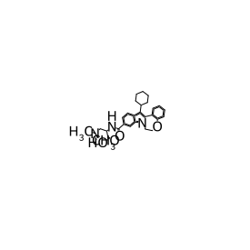 CN(C)CC(NC(=O)c1ccc2c(C3CCCCC3)c3n(c2c1)CCOc1ccccc1-3)C(=O)O